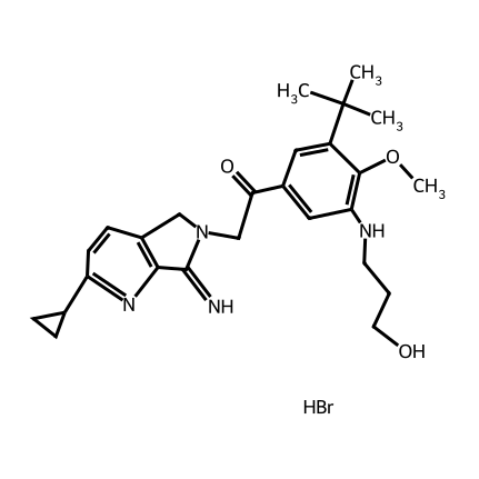 Br.COc1c(NCCCO)cc(C(=O)CN2Cc3ccc(C4CC4)nc3C2=N)cc1C(C)(C)C